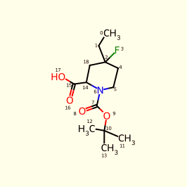 CCC1(F)CCN(C(=O)OC(C)(C)C)C(C(=O)O)C1